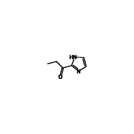 CCC(=O)c1ncc[nH]1